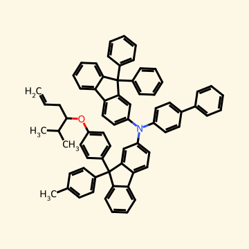 C=CCC(Oc1ccc(C2(c3ccc(C)cc3)c3ccccc3-c3ccc(N(c4ccc(-c5ccccc5)cc4)c4ccc5c(c4)C(c4ccccc4)(c4ccccc4)c4ccccc4-5)cc32)cc1)C(C)C